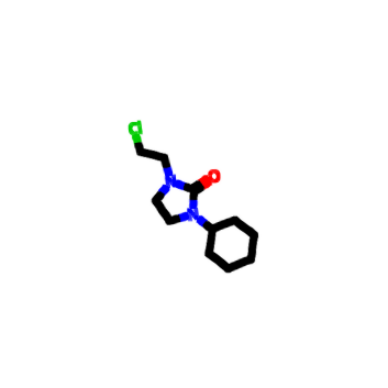 O=C1N(CCCl)CCN1C1CCCCC1